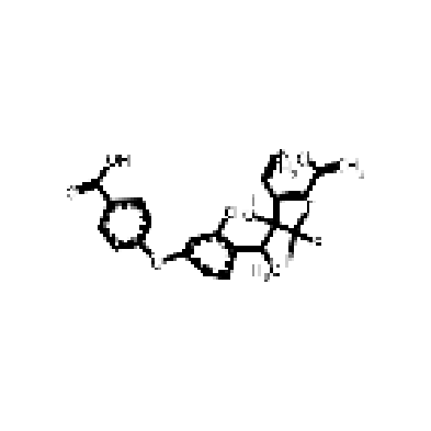 C=C(Cl)/C=C(\C=C/N)C(O)(C(C)c1ccc(Oc2ccc(C(=O)O)cc2)cc1Cl)C(F)(F)F